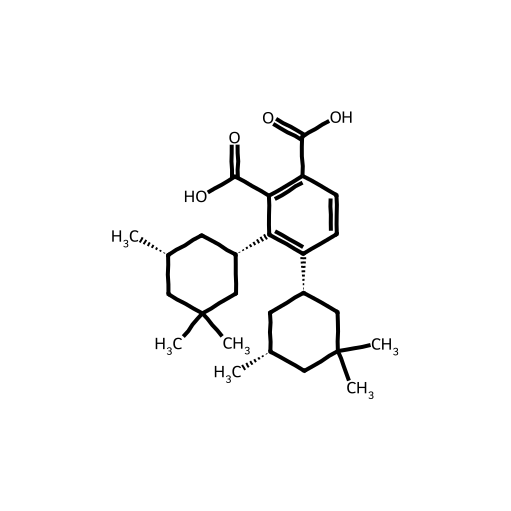 C[C@@H]1C[C@H](c2ccc(C(=O)O)c(C(=O)O)c2[C@H]2C[C@@H](C)CC(C)(C)C2)CC(C)(C)C1